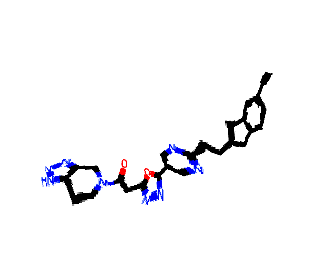 C#Cc1ccc2c(c1)CC(CCc1ncc(-c3nnc(CC(=O)N4CCc5[nH]nnc5C4)o3)cn1)C2